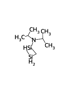 CC(C)N(C(C)C)[SiH]1C[SiH2]C1